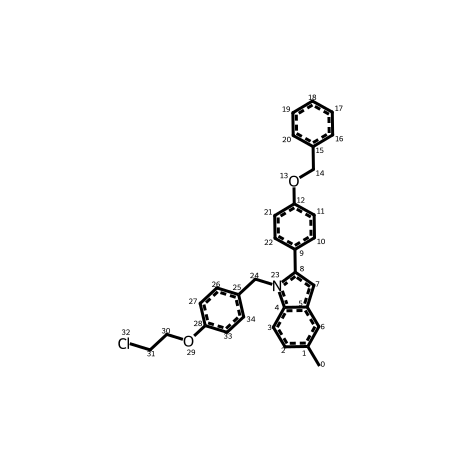 Cc1ccc2c(c1)cc(-c1ccc(OCc3ccccc3)cc1)n2Cc1ccc(OCCCl)cc1